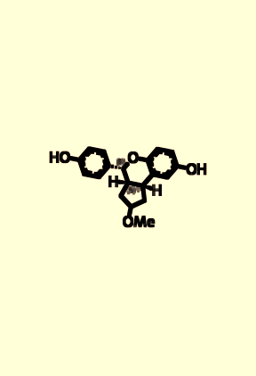 COC1C[C@H]2[C@@H](C1)c1cc(O)ccc1O[C@H]2c1ccc(O)cc1